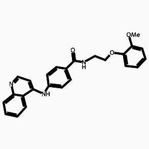 COc1ccccc1OCCNC(=O)c1ccc(Nc2ccnc3ccccc23)cc1